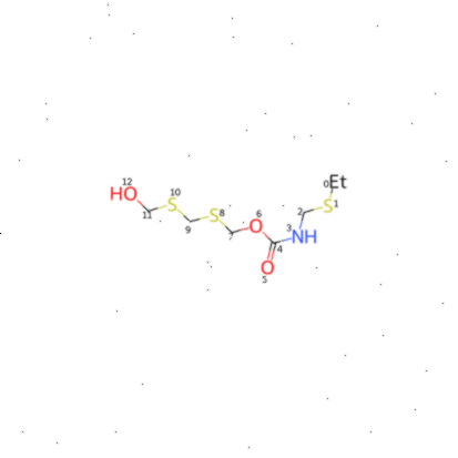 CCSCNC(=O)OCSCSCO